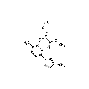 CO/C=C(\Oc1cc(-n2cc(C)cn2)ccc1C)C(=O)OC